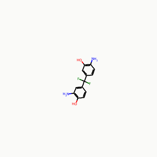 Nc1cc(C(F)(F)c2ccc(N)c(O)c2)ccc1O